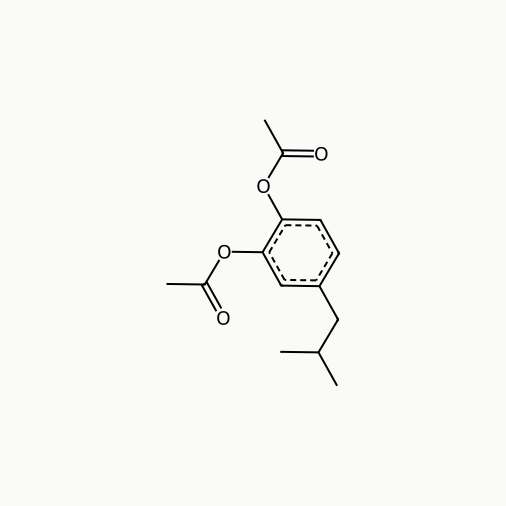 CC(=O)Oc1ccc(CC(C)C)cc1OC(C)=O